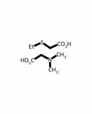 CCSCC(=O)O.CN(C)CC(=O)O